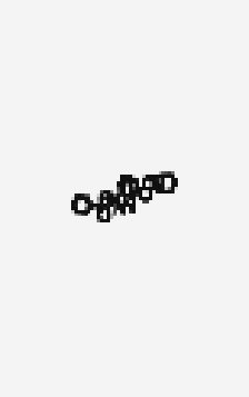 CN1C2CCCC1C(Oc1cccc3c1nnn3OC(=O)c1ccccc1)C2